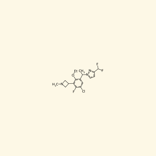 CCOc1c(C(C)n2ccc(C(F)F)n2)cc(Cl)c(F)c1C1CN(C)C1